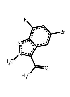 CC(=O)c1c2cc(Br)cc(F)c2nn1C